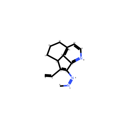 C=CC1=C(/N=N\C)c2nccc3c2C1CCC3